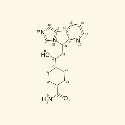 NC(=O)C1CCC(C(O)CC2c3ncccc3-c3cncn32)CC1